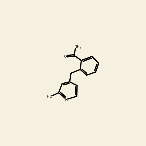 NC(=O)c1ccccc1Cc1ccnc(O)c1